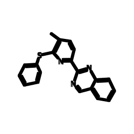 Cc1ccc(-c2ncc3ccccc3n2)nc1Sc1ccccc1